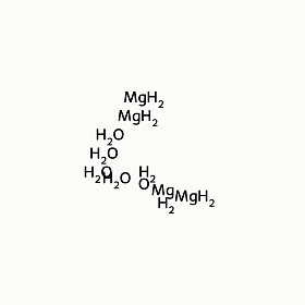 O.O.O.O.O.[MgH2].[MgH2].[MgH2].[MgH2]